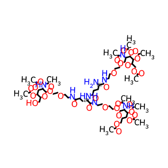 CC(=O)NC1C(OCCOCCNC(=O)CC[C@H](NC(=O)CC[C@H](N)C(=O)NCCOCCOC2OC(COC(C)=O)C(OC(C)=O)C(OC(C)=O)C2NC(C)=O)C(=O)NCCOCCOC2OC(COC(C)=O)C(OC(C)=O)C(OC(C)=O)C2NC(C)=O)OC(CO)C(OC(C)=O)C1OC(C)=O